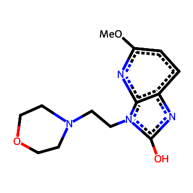 COc1ccc2nc(O)n(CCN3CCOCC3)c2n1